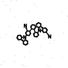 N#Cc1ccc2c3ccccc3n(-c3ccccc3-c3ccccc3-c3ccc(-n4c5ccccc5c5ccccc54)cc3C#N)c2c1